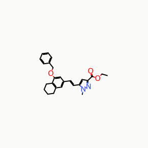 CCOC(=O)c1cc(C=Cc2cc3c(c(OCc4ccccc4)c2)CCCC3)n(C)n1